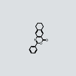 O=c1oc(-c2ccccc2)nc2cc3c(cc12)CCCC3